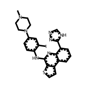 CN1CCN(c2ccc(Nc3nc4c(-c5nnc[nH]5)cccc4c4ccsc34)c(I)c2)CC1